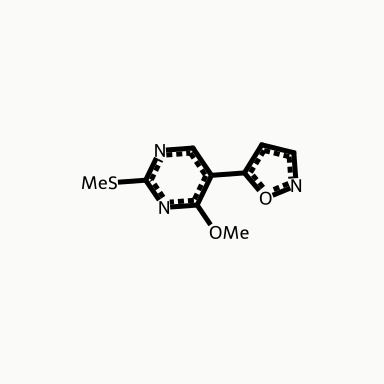 COc1nc(SC)ncc1-c1ccno1